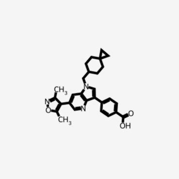 Cc1noc(C)c1-c1cnc2c(-c3ccc(C(=O)O)cc3)cn(CC3CCC4(CC3)CC4)c2c1